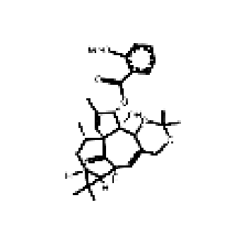 COc1ccccc1C(=O)O[C@H]1C(C)=C[C@]23C(=O)[C@@H](C=C4COC(C)(C)OC4[C@]12O)[C@H]1[C@@H](C[C@H]3C)C1(C)C